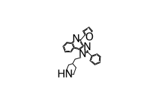 c1ccc(-c2nc3c(-c4ccco4)nc4ccccc4c3n2CCC2CCNCC2)cc1